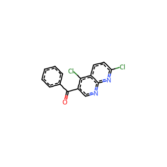 O=C(c1ccccc1)c1cnc2nc(Cl)ccc2c1Cl